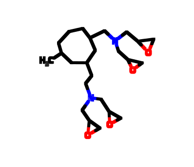 CC1CCCC(CN(CC2CO2)CC2CO2)CC(CCN(CC2CO2)CC2CO2)C1